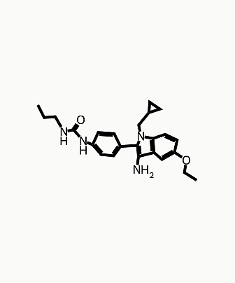 CCCNC(=O)Nc1ccc(-c2c(N)c3cc(OCC)ccc3n2CC2CC2)cc1